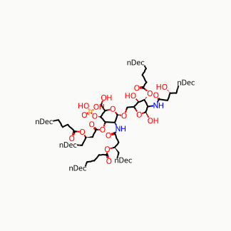 CCCCCCCCCCCCCC(=O)O[C@H](CCCCCCCCCCC)CC(=O)N[C@H]1C(OC(=O)C[C@@H](CCCCCCCCCCC)OC(=O)CCCCCCCCCCCCC)[C@H](OP(=O)(O)O)C(CO)O[C@H]1OCC1O[C@H](O)C(NC(=O)C[C@H](O)CCCCCCCCCCC)[C@@H](OC(=O)CCCCCCCCCCCCC)[C@@H]1O